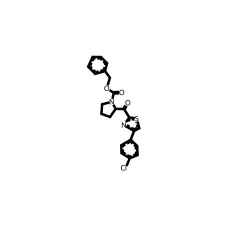 O=C(c1nc(-c2ccc(Cl)cc2)cs1)C1CCCN1C(=O)OCc1ccccc1